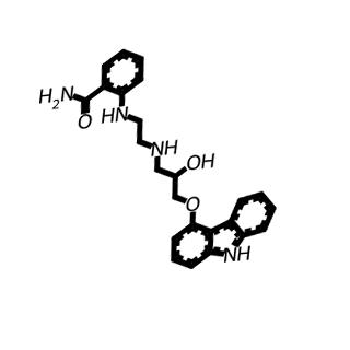 NC(=O)c1ccccc1NCCNCC(O)COc1cccc2[nH]c3ccccc3c12